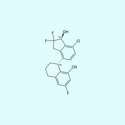 N#Cc1cc(F)cc2c1[C@@H](c1ccc(Cl)c3c1CC(F)(F)[C@H]3O)CCC2